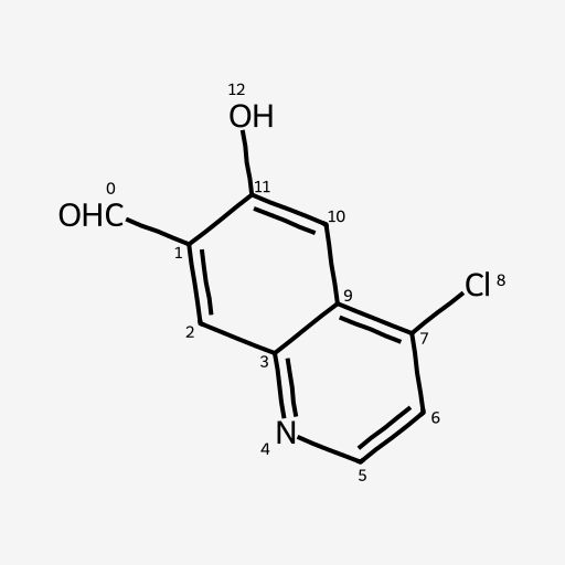 O=Cc1cc2nccc(Cl)c2cc1O